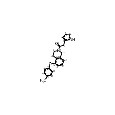 O=C(Cc1ccn[nH]1)N1CCc2c(cccc2Oc2ccc(C(F)(F)F)cc2)C1